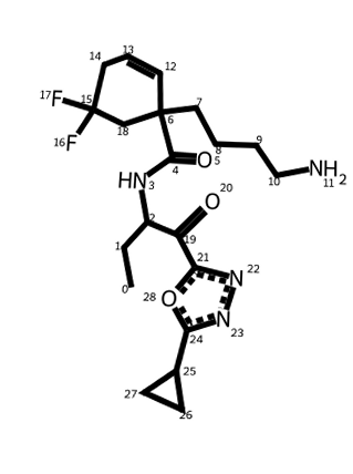 CCC(NC(=O)C1(CCCCN)C=CCC(F)(F)C1)C(=O)c1nnc(C2CC2)o1